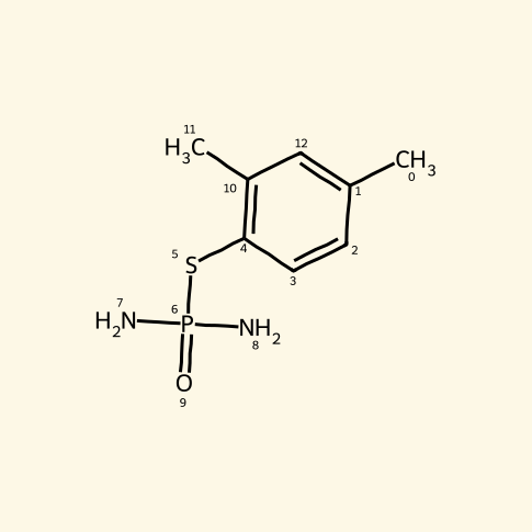 Cc1ccc(SP(N)(N)=O)c(C)c1